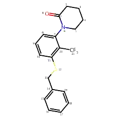 O=C1CCCCN1c1cccc(SCc2ccccc2)c1C(F)(F)F